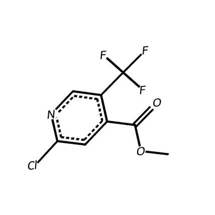 COC(=O)c1cc(Cl)ncc1C(F)(F)F